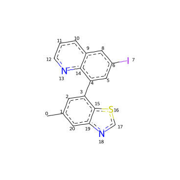 Cc1cc(-c2cc(I)cc3cccnc23)c2scnc2c1